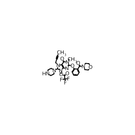 CC#CCN1c2c(nc(Oc3ccccc3C(=O)N3CCOCC3)n(C)c2=O)N(OC(=O)C(F)(F)F)C1N1CCNCC1